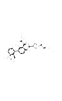 C=CC(=O)N1CC(c2nc(C(N)=O)c3cc(-c4c(C)ccc5[nH]ncc45)ccc3n2)C1